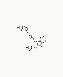 C=Cc1nc2ccccc2n1CCOCCOC